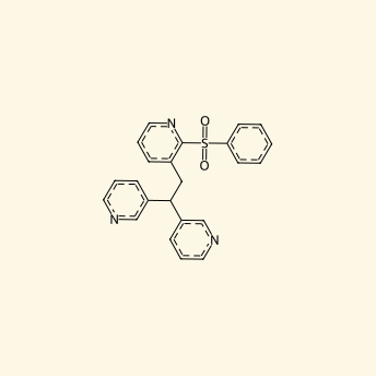 O=S(=O)(c1ccccc1)c1ncccc1CC(c1cccnc1)c1cccnc1